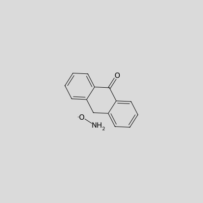 N[O].O=C1c2ccccc2Cc2ccccc21